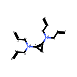 C=CCN(CC=C)C1=C(N(CC=C)CC=C)[C]1